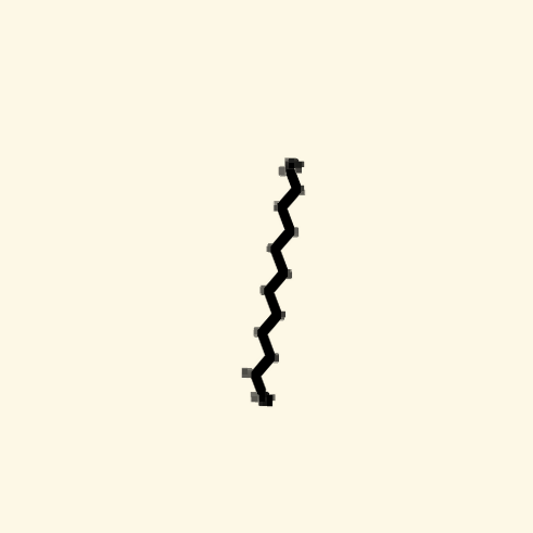 CC(C)CCCCCCCCCCBr